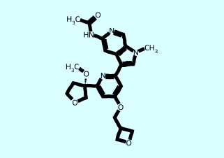 CO[C@@]1(c2cc(OCC3COC3)cc(-c3cn(C)c4cnc(NC(C)=O)cc34)n2)CCOC1